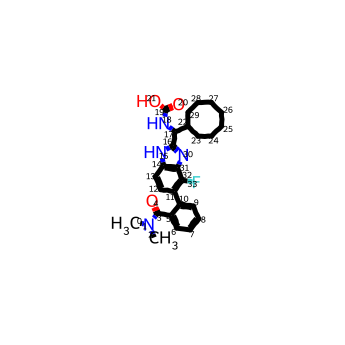 CN(C)C(=O)c1ccccc1-c1ccc2[nH]c(C(NC(=O)O)C3CCCCCCC3)nc2c1F